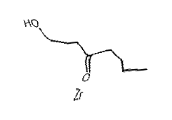 CCCC(=O)CCO.[Zr]